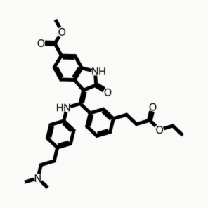 CCOC(=O)CCc1cccc(C(Nc2ccc(CCN(C)C)cc2)=C2C(=O)Nc3cc(C(=O)OC)ccc32)c1